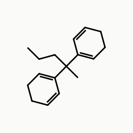 CCCC(C)(C1=CCCC=C1)C1=CCCC=C1